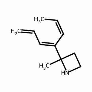 C=C/C=C(\C=C/C)C1(C)CCN1